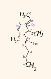 C=C/C=C\C(=C/C)C(C)CC(I)CCCC